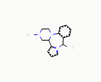 CC1c2ccccc2N2CCN(C)CC2c2cccn21